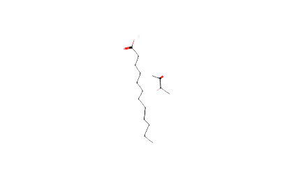 CC(=O)C(C)O.CCCCCCCCCCCC(=O)O